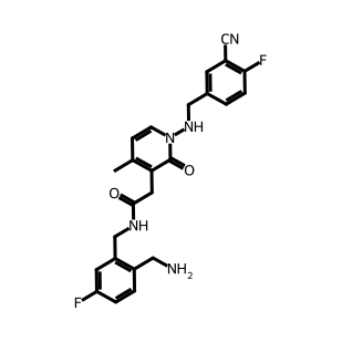 Cc1ccn(NCc2ccc(F)c(C#N)c2)c(=O)c1CC(=O)NCc1cc(F)ccc1CN